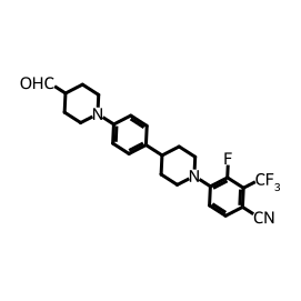 N#Cc1ccc(N2CCC(c3ccc(N4CCC(C=O)CC4)cc3)CC2)c(F)c1C(F)(F)F